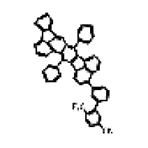 N#Cc1ccc(C(F)(F)F)c(-c2cccc(-c3ccc4c5c(-c6ccccc6)c6c(cc7c8ccccc8c8cccc6c87)c(-c6ccccc6)c5c5cccc3c54)c2)c1